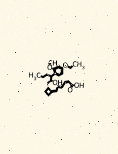 CCCC(c1ccc(OCC)cc1OC)C(O)C[C@H]1CC/C1=C/C=C/C=C\C(=O)O